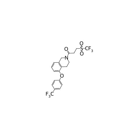 O=C(CCS(=O)(=O)C(F)(F)F)N1CCc2c(cccc2Oc2ccc(C(F)(F)F)cc2)C1